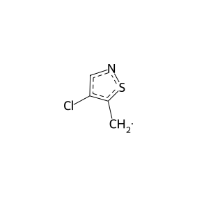 [CH2]c1sncc1Cl